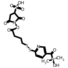 C[N+](C)(O)C(=O)c1ccc(SSCCCC(=O)ON2C(=O)CC(S(=O)(=O)O)C2=O)nc1